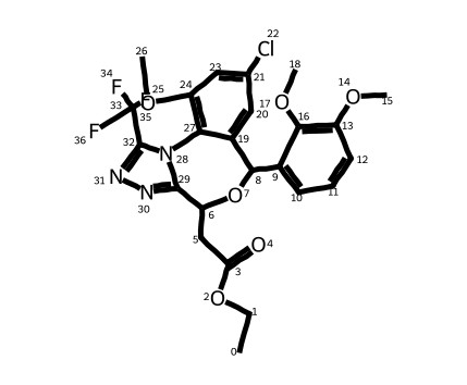 CCOC(=O)CC1OC(c2cccc(OC)c2OC)c2cc(Cl)cc(OC)c2-n2c1nnc2C(F)(F)F